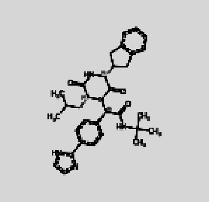 CC(C)C[C@@H]1C(=O)N[C@H](C2Cc3ccccc3C2)C(=O)N1[C@@H](C(=O)NC(C)(C)C)c1ccc(-c2ncc[nH]2)cc1